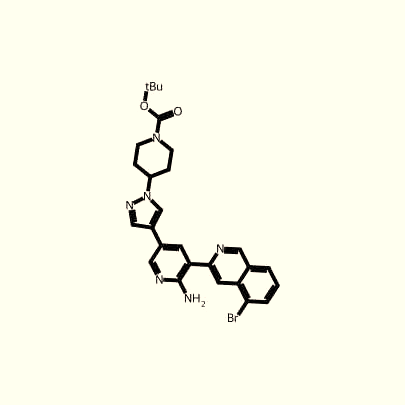 CC(C)(C)OC(=O)N1CCC(n2cc(-c3cnc(N)c(-c4cc5c(Br)cccc5cn4)c3)cn2)CC1